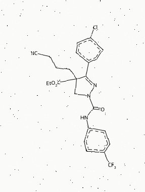 CCOC(=O)C1(CCCC#N)CN(C(=O)Nc2ccc(C(F)(F)F)cc2)N=C1c1ccc(Cl)cc1